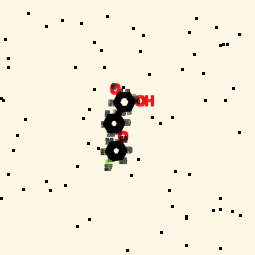 O=C1CC(O)CC(c2cccc(Oc3ccc(F)cc3)c2)C1